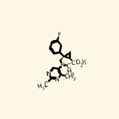 Cc1ncc(N(C)C[C@@]2(C3C=CC=C(F)C3)C[C@H]2C(=O)O)c(C)n1